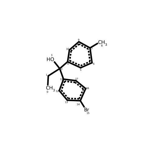 CCC(O)(c1ccc(C)cc1)c1ccc(Br)cc1